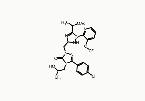 CC(=O)O[C@H](C)C1=NC(Cn2nc(-c3ccc(Cl)cc3)n(C[C@H](O)C(F)(F)F)c2=O)NN1c1ncccc1OC(F)(F)F